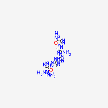 Cc1nn(-c2cc(-n3nc(C)c(/N=N/c4c(C(=O)N(N)N)cnn4C)c3N)ncn2)c(N)c1/N=N/c1c(C(N)=O)cnn1C